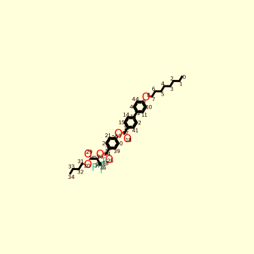 CCCCCCCCOc1ccc(-c2ccc(C(=O)Oc3ccc(C(=O)OC(C(=O)OCCCC)C(F)(F)F)cc3)cc2)cc1